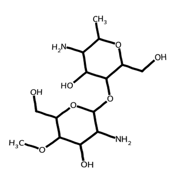 COC1C(CO)OC(OC2C(CO)OC(C)C(N)C2O)C(N)C1O